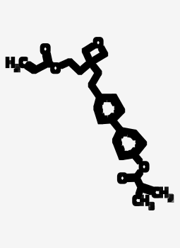 C=CC(=O)OCCC1(CCc2ccc(-c3ccc(OC(=O)C(=C)C)cc3)cc2)COC1